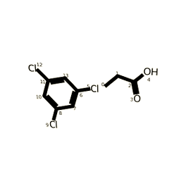 CCC(=O)O.Clc1cc(Cl)cc(Cl)c1